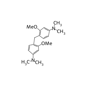 COc1cc(N(C)C)ccc1Cc1ccc(N(C)C)cc1OC